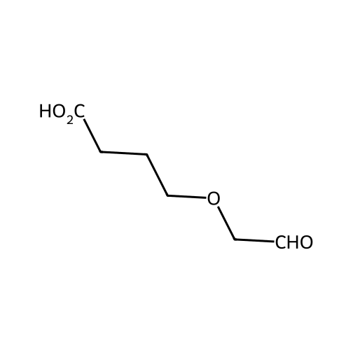 O=CCOCCCC(=O)O